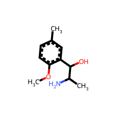 COc1ccc(C)cc1C(O)C(C)N